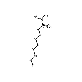 [CH2]CCCCCCCC(=O)N(C)C